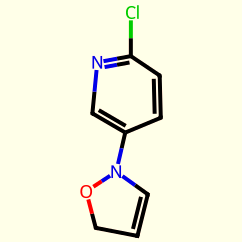 Clc1ccc(N2C=CCO2)cn1